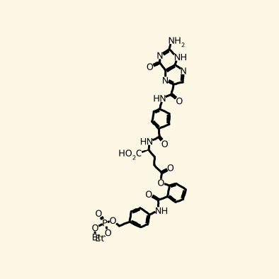 CCOP(=O)(OCC)OCc1ccc(NC(=O)c2ccccc2OC(=O)CC[C@H](NC(=O)c2ccc(NC(=O)c3cnc4[nH]c(N)nc(=O)c4n3)cc2)C(=O)O)cc1